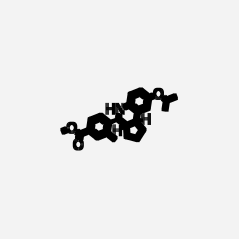 COC(=O)c1ccc([C@H]2Nc3ccc(OC(C)C)cc3[C@@H]3CCC[C@H]23)c(C)c1